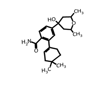 CC1CC(O)(c2ccc(C(N)=O)c(C3=CCC(C)(C)CC3)c2)CC(C)O1